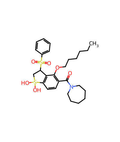 CCCCCCOc1c(C(=O)N2CCCCCC2)ccc2c1C(S(=O)(=O)c1ccccc1)CS2(O)O